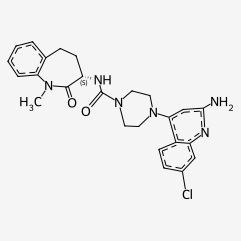 CN1C(=O)[C@@H](NC(=O)N2CCN(c3cc(N)nc4cc(Cl)ccc34)CC2)CCc2ccccc21